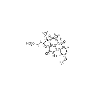 O=C(O)CCC(=O)N(C1CC1)[C@H]1c2cc(Cl)c(Cl)cc2N(C(=O)c2ccc(OC(F)(F)F)cc2)[C@@H]2CC[C@@H]21